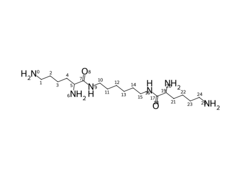 NCCCCC(N)C(=O)NCCCCCCNC(=O)C(N)CCCCN